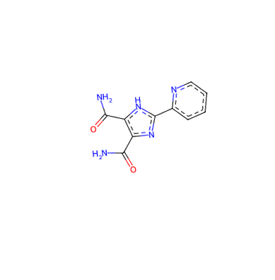 NC(=O)c1nc(-c2ccccn2)[nH]c1C(N)=O